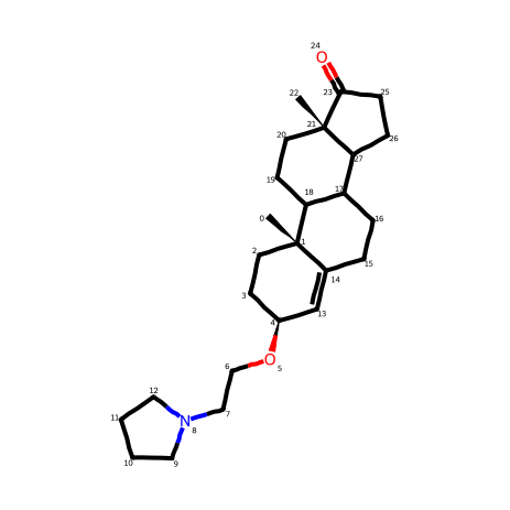 C[C@]12CC[C@H](OCCN3CCCC3)C=C1CCC1C2CC[C@]2(C)C(=O)CCC12